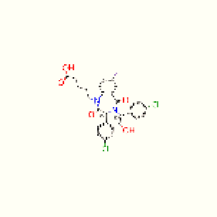 O=C(O)CCCCN1C(=O)[C@H](c2ccc(Cl)cc2)N([C@H](CO)c2ccc(Cl)cc2)C(=O)c2cc(I)ccc21